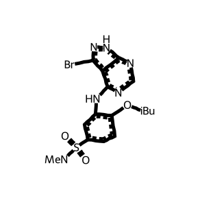 CCC(C)Oc1ccc(S(=O)(=O)NC)cc1Nc1ncnc2[nH]nc(Br)c12